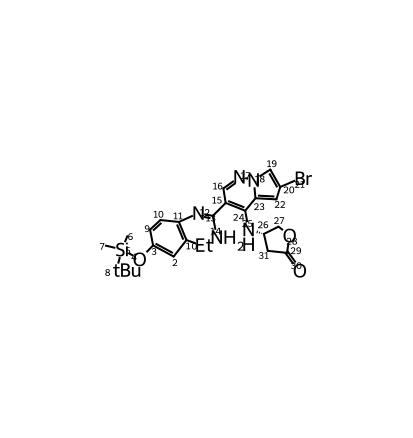 CCc1cc(O[Si](C)(C)C(C)(C)C)ccc1/N=C(\N)c1cnn2cc(Br)cc2c1N[C@@H]1COC(=O)C1